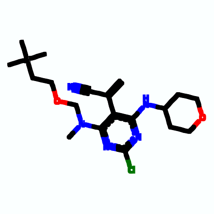 C=C(C#N)c1c(NC2CCOCC2)nc(Cl)nc1N(C)COCC[Si](C)(C)C